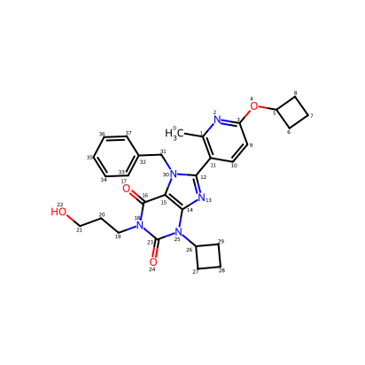 Cc1nc(OC2CCC2)ccc1-c1nc2c(c(=O)n(CCCO)c(=O)n2C2CCC2)n1Cc1ccccc1